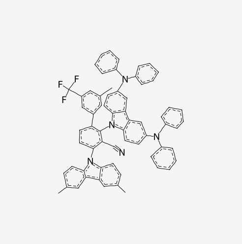 Cc1cc(-c2ccc(-n3c4ccc(C)cc4c4cc(C)ccc43)c(C#N)c2-n2c3ccc(N(c4ccccc4)c4ccccc4)cc3c3cc(N(c4ccccc4)c4ccccc4)ccc32)cc(C(F)(F)F)c1